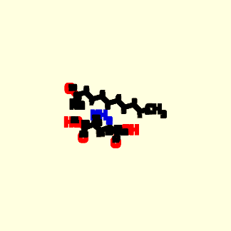 CCCCCCCCC[C](=O)[Na].NC(CCC(=O)O)C(=O)O